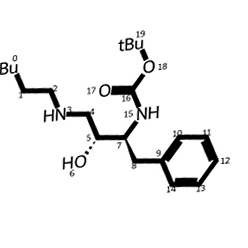 CC(C)(C)CCNC[C@@H](O)[C@H](Cc1ccccc1)NC(=O)OC(C)(C)C